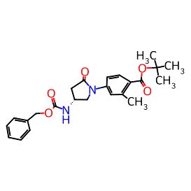 Cc1cc(N2C[C@H](NC(=O)OCc3ccccc3)CC2=O)ccc1C(=O)OC(C)(C)C